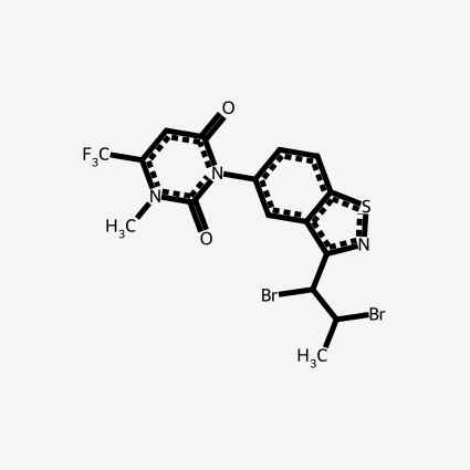 CC(Br)C(Br)c1nsc2ccc(-n3c(=O)cc(C(F)(F)F)n(C)c3=O)cc12